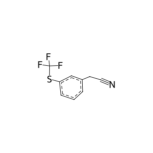 N#CCc1cccc(SC(F)(F)F)c1